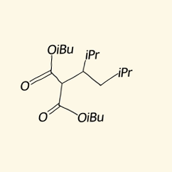 CC(C)COC(=O)C(C(=O)OCC(C)C)C(CC(C)C)C(C)C